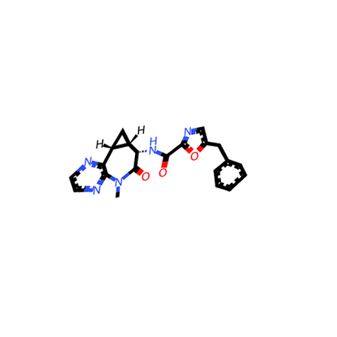 CN1C(=O)[C@@H](NC(=O)c2ncc(Cc3ccccc3)o2)[C@H]2C[C@H]2c2nccnc21